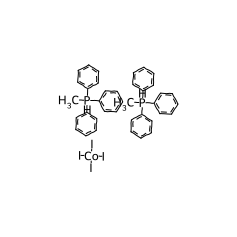 C[PH](c1ccccc1)(c1ccccc1)c1ccccc1.C[PH](c1ccccc1)(c1ccccc1)c1ccccc1.[I][Co]([I])([I])[I]